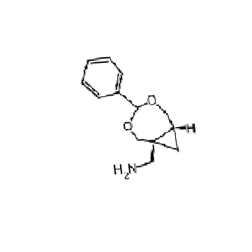 NC[C@@]12COC(c3ccccc3)OC[C@@H]1C2